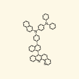 c1ccc(N(c2ccccc2)c2ccc(N(c3ccc(-c4ccc(-c5c6ccccc6nc6c5ccc5cccnc56)c5ccccc45)cc3)c3ccc4ccccc4c3)cc2)cc1